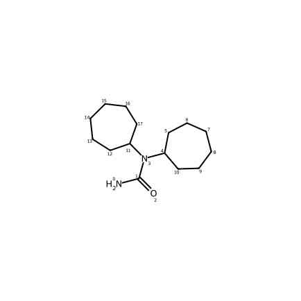 NC(=O)N(C1CCCCCC1)C1CCCCCC1